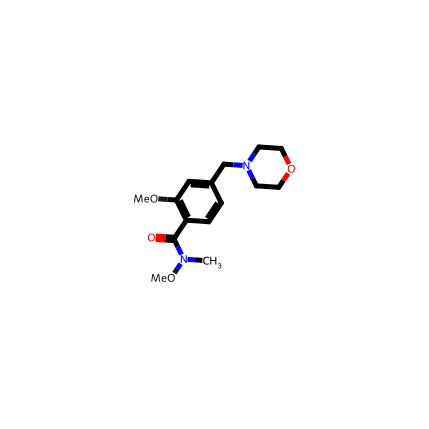 COc1cc(CN2CCOCC2)ccc1C(=O)N(C)OC